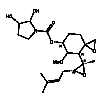 COC1[C@H](OC(=O)N2CCC(O)C2O)CCC2(CO2)[C@H]1[C@@]1(C)O[C@@H]1CC=C(C)C